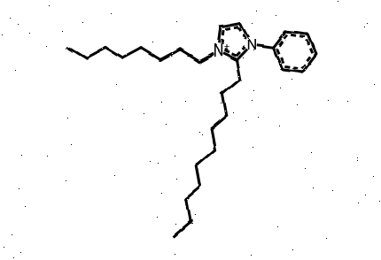 CCCCCCCCCCc1n(-c2ccccc2)cc[n+]1CCCCCCCC